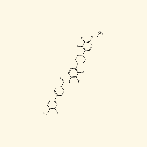 CCOc1ccc(C2CCC(c3ccc(OC(=O)C4CC=C(c5ccc(C)c(F)c5F)CC4)c(F)c3F)CC2)c(F)c1F